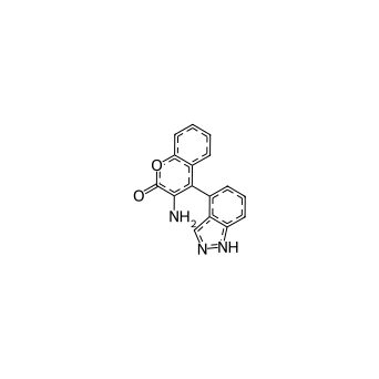 Nc1c(-c2cccc3[nH]ncc23)c2ccccc2oc1=O